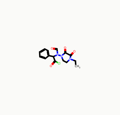 CCN1CCN(N(C=O)C(C(=O)Cl)c2ccccc2)C(=O)C1=O